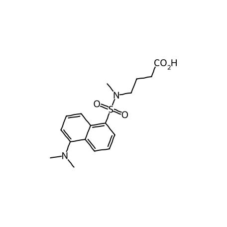 CN(C)c1cccc2c(S(=O)(=O)N(C)CCCC(=O)O)cccc12